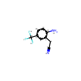 N#CCc1cc(C(F)(F)F)ccc1N